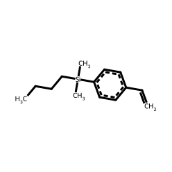 C=Cc1ccc([Si](C)(C)CCCC)cc1